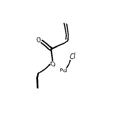 C=CC(=O)OCC.[Cl][Pd]